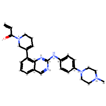 C=CC(=O)N1CCC=C(c2cccc3cnc(Nc4ccc(N5CCN(C)CC5)cc4)nc23)C1